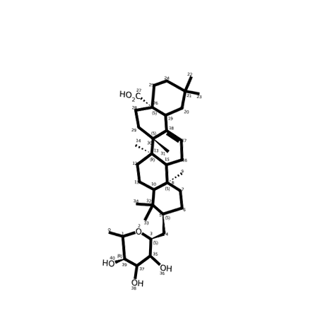 CC1O[C@@H](C[C@@H]2CC[C@@]3(C)C(CC[C@]4(C)C3CC=C3C5CC(C)(C)CC[C@]5(C(=O)O)CC[C@]34C)C2(C)C)C(O)C(O)[C@H]1O